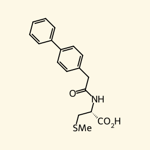 CSC[C@H](NC(=O)Cc1ccc(-c2ccccc2)cc1)C(=O)O